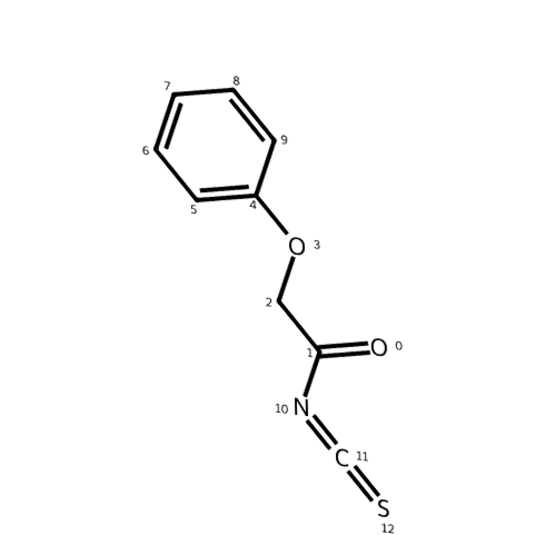 O=C(COc1ccccc1)N=C=S